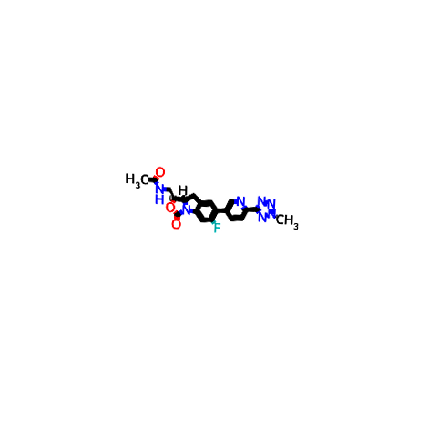 CC(=O)NC[C@@H]1OC(=O)N2c3cc(F)c(-c4ccc(-c5nnn(C)n5)nc4)cc3C[C@@H]12